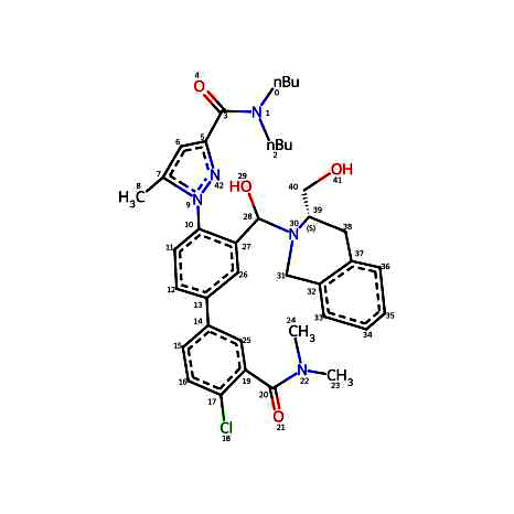 CCCCN(CCCC)C(=O)c1cc(C)n(-c2ccc(-c3ccc(Cl)c(C(=O)N(C)C)c3)cc2C(O)N2Cc3ccccc3C[C@H]2CO)n1